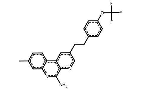 Cc1ccc2c(c1)nc(N)c1ncc(CCc3ccc(OC(F)(F)F)cc3)cc12